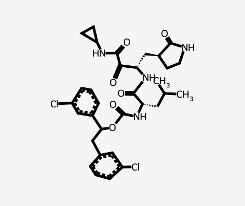 CC(C)C[C@H](NC(=O)OC(Cc1cccc(Cl)c1)c1cccc(Cl)c1)C(=O)N[C@@H](C[C@@H]1CCNC1=O)C(=O)C(=O)NC1CC1